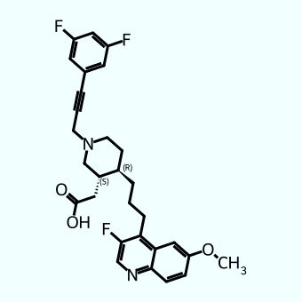 COc1ccc2ncc(F)c(CCC[C@@H]3CCN(CC#Cc4cc(F)cc(F)c4)C[C@H]3CC(=O)O)c2c1